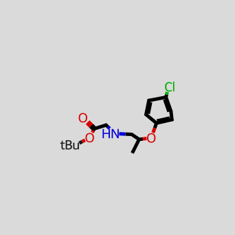 CC(CNCC(=O)OC(C)(C)C)Oc1ccc(Cl)cc1